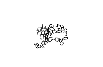 CC1c2cc3sc4c(c3cc2C2(C)CCC1C2)B(c1ccc(C(C)(C)C)cc1)c1ccc(-c2ccc(N(c3ccccc3)c3ccccc3)cc2)cc1N4c1ccc2c(c1)C(C)(C)CCC2(C)C